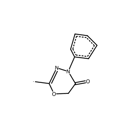 [CH2]C1=NN(c2ccccc2)C(=O)CO1